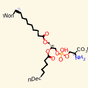 CCCCCCCCC/C=C\CCCCCCCC(=O)OC[C@H](COP(=O)(O)OC[C@H](N)C(=O)O)OC(=O)CCCCCCCCCCCCCC